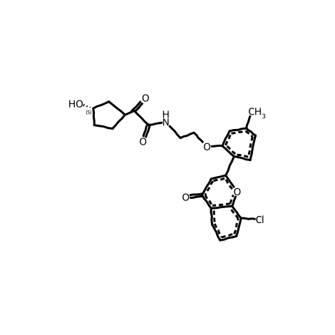 Cc1ccc(-c2cc(=O)c3cccc(Cl)c3o2)c(OCCNC(=O)C(=O)C2CC[C@H](O)C2)c1